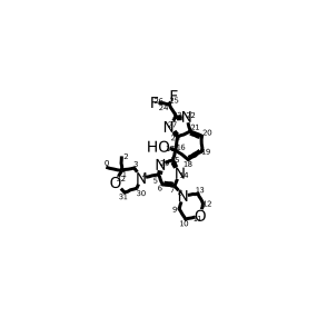 CC1(C)CN(c2cc(N3CCOCC3)nc(C3(O)C=CC=C4N=C(C(F)F)N=C43)n2)CCO1